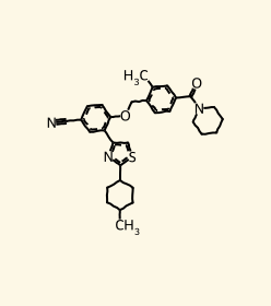 Cc1cc(C(=O)N2CCCCC2)ccc1COc1ccc(C#N)cc1-c1csc(C2CCC(C)CC2)n1